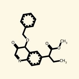 CCC(C(=O)OC)c1ccc2c(c1)C(OCc1ccccc1)C(=O)C=N2